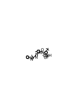 COc1c(NC(=O)c2ccc(C)c(-n3cnc(-c4cnn(-c5ccccc5)c4C)c3)c2)cc(C(C)(C)C)cc1N[S+](C)[O-]